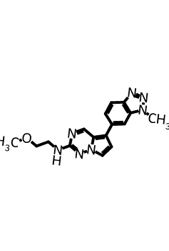 COCCNc1ncc2c(-c3ccc4nnn(C)c4c3)ccn2n1